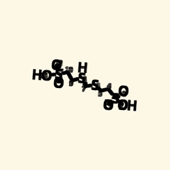 O=S(=O)(O)CCSC=[SH]CCS(=O)(=O)O